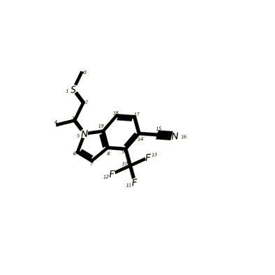 CSCC(C)n1ccc2c(C(F)(F)F)c(C#N)ccc21